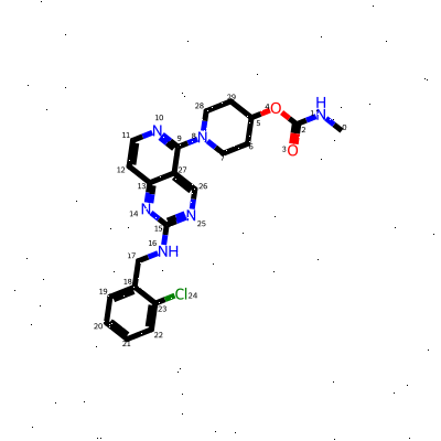 CNC(=O)OC1CCN(c2nccc3nc(NCc4ccccc4Cl)ncc23)CC1